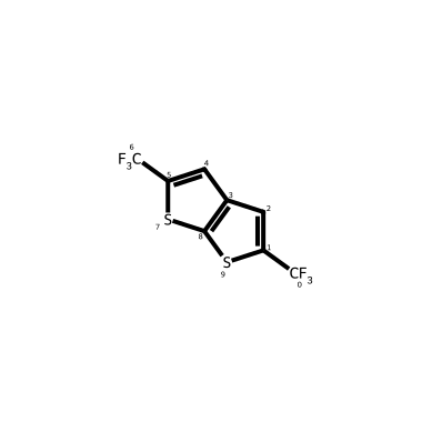 FC(F)(F)c1cc2cc(C(F)(F)F)sc2s1